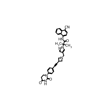 CC(C)(C(=O)Nc1ccc(C#N)c2ccccc12)n1cc(CN2CC(C#Cc3ccc(N4CCC(=O)NC4=O)cc3)C2)cn1